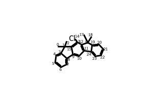 CC1(C)c2ccccc2-c2cc3c(c(Cl)c21)C(C)(C)c1ccccc1-3